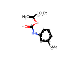 C=C(OC(=O)Nc1cccc(SC)c1)C(=O)OCC